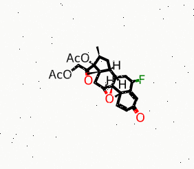 CC(=O)OCC(=O)[C@]1(OC(C)=O)[C@@H](C)C[C@H]2[C@@H]3CC(F)C4=CC(=O)C=C[C@]4(C)[C@@]34O[C@H]4C[C@@]21C